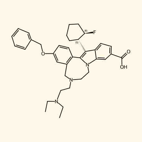 CCN(CC)CCN1CCn2c(c([C@@H]3CCCC[C@H]3F)c3ccc(C(=O)O)cc32)-c2ccc(OCc3ccccc3)cc2C1